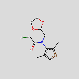 Cc1csc(C)c1N(CC1OCCO1)C(=O)CCl